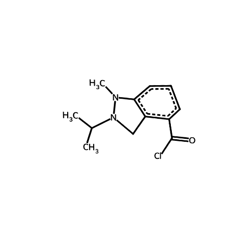 CC(C)N1Cc2c(C(=O)Cl)cccc2N1C